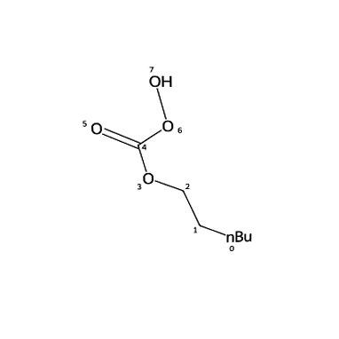 CCCCCCOC(=O)OO